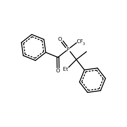 CCC(C)(c1ccccc1)P(=O)(C(=O)c1ccccc1)C(F)(F)F